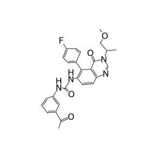 COCC(C)n1cnc2ccc(NC(=O)Nc3cccc(C(C)=O)c3)c(-c3ccc(F)cc3)c2c1=O